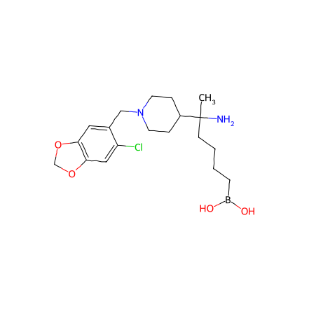 CC(N)(CCCCB(O)O)C1CCN(Cc2cc3c(cc2Cl)OCO3)CC1